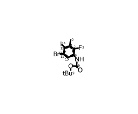 Cc1c(F)c(NC(=O)OC(C)(C)C)cc(Br)c1I